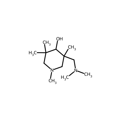 CN(C)CC1(C)CN(C)CC(C)(C)C1O